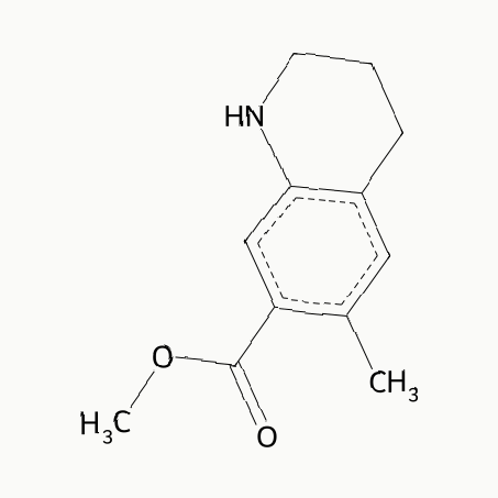 COC(=O)c1cc2c(cc1C)CCCN2